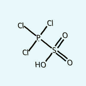 O=S(=O)(O)[P](Cl)(Cl)Cl